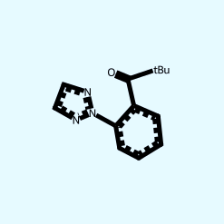 CC(C)(C)C(=O)c1ccccc1-n1nccn1